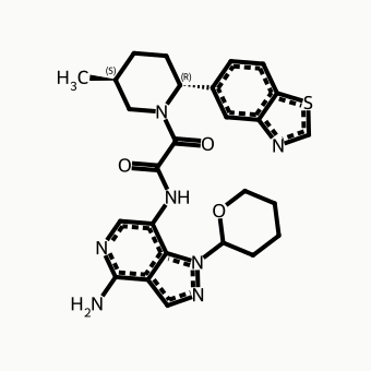 C[C@H]1CC[C@H](c2ccc3scnc3c2)N(C(=O)C(=O)Nc2cnc(N)c3cnn(C4CCCCO4)c23)C1